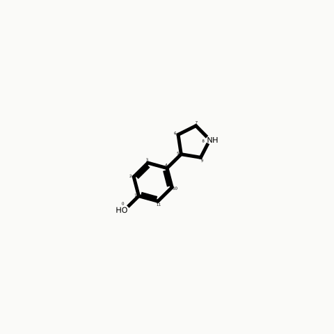 Oc1ccc(C2CCNC2)cc1